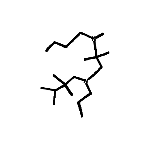 CCCCN(C)C(C)(C)CN(CCC)CC(C)(C)C(C)C